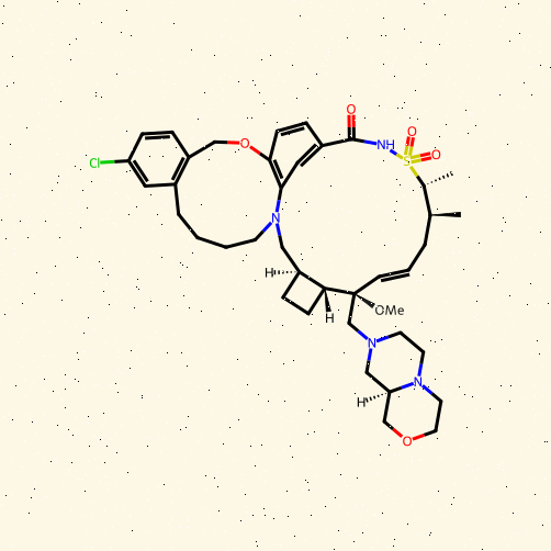 CO[C@]1(CN2CCN3CCOC[C@H]3C2)/C=C/C[C@H](C)[C@@H](C)S(=O)(=O)NC(=O)c2ccc3c(c2)N(CCCCc2cc(Cl)ccc2CO3)C[C@@H]2CC[C@H]21